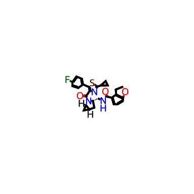 O=C(NC[C@@H]1C[C@@H]2C[C@@H]2N1C(=O)c1nc(C2CC2)sc1-c1ccc(F)cc1)c1cccc2c1CCO2